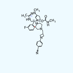 CNC(=O)O[C@H]1CC2=C[C@@H]1[C@](c1cccc(F)c1)(C1CCN(CC3CN(c4ccc(C#N)cc4)C3)CC1)CN/C(C)=N\N2C